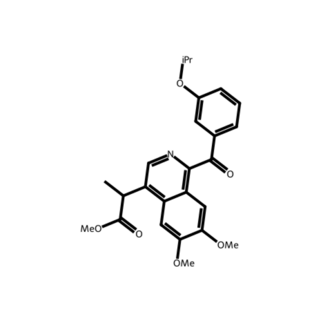 COC(=O)C(C)c1cnc(C(=O)c2cccc(OC(C)C)c2)c2cc(OC)c(OC)cc12